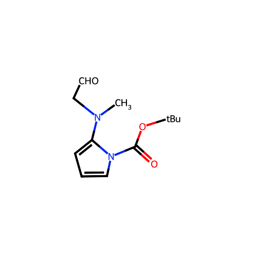 CN(CC=O)c1cccn1C(=O)OC(C)(C)C